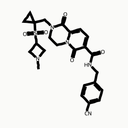 CN1CC(S(=O)(=O)C2(CN3CCn4c(ccc(C(=O)NCc5ccc(C#N)cc5)c4=O)C3=O)CC2)C1